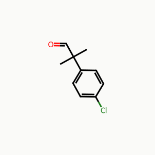 CC(C)(C=O)c1ccc(Cl)cc1